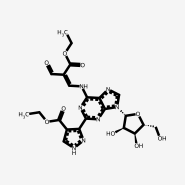 CCOC(=O)/C(C=O)=C\Nc1nc(-c2n[nH]cc2C(=O)OCC)nc2c1ncn2[C@@H]1O[C@H](CO)[C@@H](O)[C@H]1O